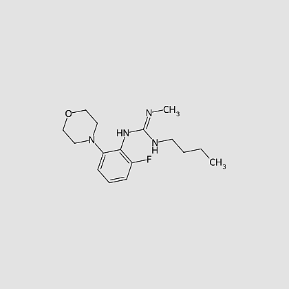 CCCCN/C(=N\C)Nc1c(F)cccc1N1CCOCC1